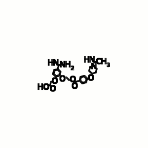 CC(=N)N1CCC(Oc2ccc(C(=O)OCCOc3cc(C(=N)N)ccc3OCC(=O)O)cc2)CC1